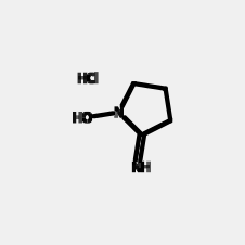 Cl.N=C1CCCN1O